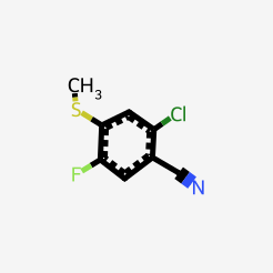 CSc1cc(Cl)c(C#N)cc1F